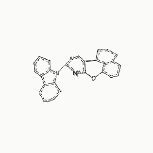 c1cc2c3c(cccc3c1)-c1cnc(-n3c4ccccc4c4ccccc43)nc1O2